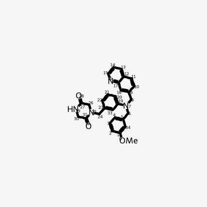 COc1cccc(CN(Cc2ccc3cccnc3c2)c2cccc(CN3CC(=O)NCC3=O)c2)c1